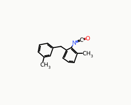 Cc1cccc(Cc2cccc(C)c2N=C=O)c1